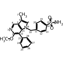 COc1ncc2c(C)cn(Cc3ccc(S(N)(=O)=O)cc3)c2c1-c1ccccc1